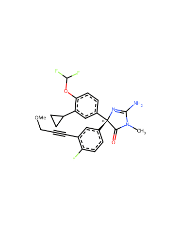 COCC#Cc1cc([C@@]2(c3ccc(OC(F)F)c(C4CC4)c3)N=C(N)N(C)C2=O)ccc1F